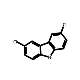 Clc1ccc2c(c1)-c1cc(Cl)ccc1[N]2